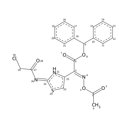 CC(=O)ON=C(C(=O)OC(c1ccccc1)c1ccccc1)c1csc(=NC(=O)CCl)[nH]1